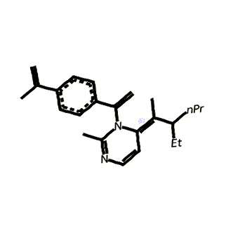 C=C(C)c1ccc(C(=C)N2C(C)=NC=C/C2=C(/C)C(CC)CCC)cc1